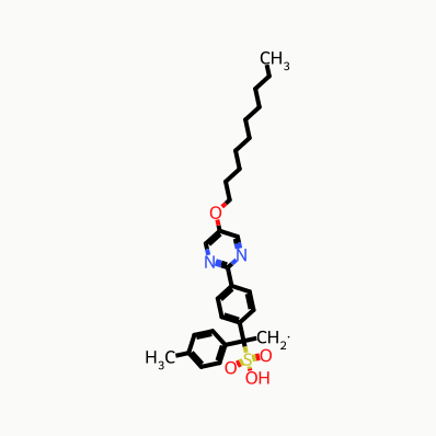 [CH2]C(c1ccc(C)cc1)(c1ccc(-c2ncc(OCCCCCCCCCC)cn2)cc1)S(=O)(=O)O